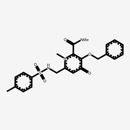 CNC(=O)c1c(OCc2ccccc2)c(=O)cc(CNS(=O)(=O)c2ccc(C)cc2)n1C